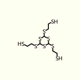 SCCSC1SC(SCCS)SC(SCCS)S1